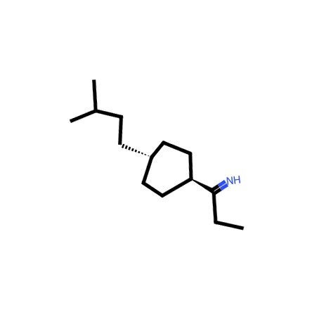 CCC(=N)[C@H]1CC[C@H](CCC(C)C)CC1